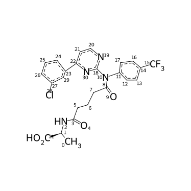 C[C@H](NC(=O)CCCC(=O)N(c1ccc(C(F)(F)F)cc1)c1nccc(-c2cccc(Cl)c2)n1)C(=O)O